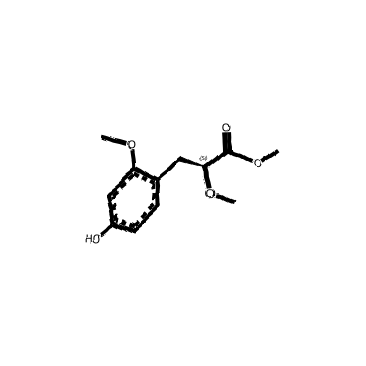 COC(=O)[C@H](Cc1ccc(O)cc1OC)OC